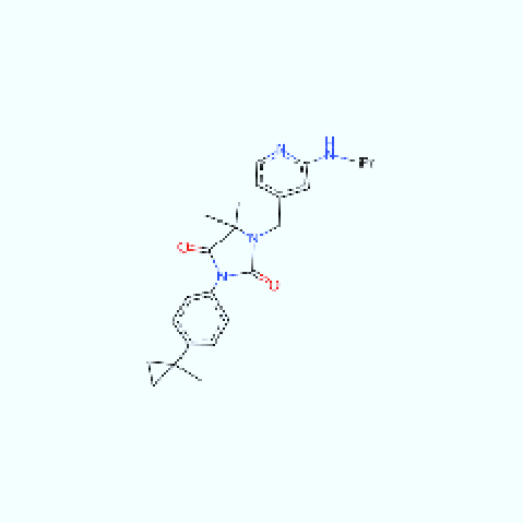 CC(C)Nc1cc(CN2C(=O)N(c3ccc(C4(C)CC4)cc3)C(=O)C2(C)C)ccn1